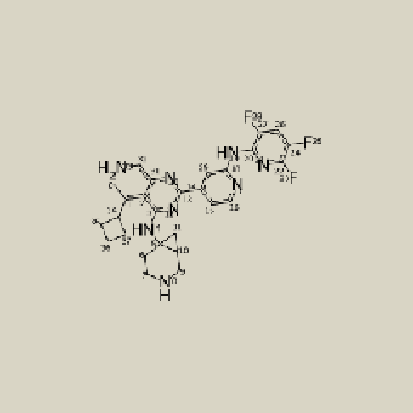 C/C(=c1/c(NC23CCNCC2C3)nc(-c2ccnc(Nc3nc(F)c(F)cc3F)c2)n/c1=C/N)C1CCC1